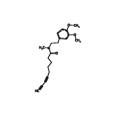 C#CC#CCCCCC(=O)N(C)CCc1ccc(OC)c(OC)c1